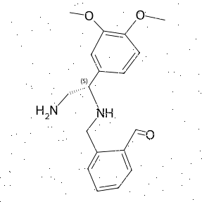 COc1ccc([C@@H](CN)NCc2ccccc2C=O)cc1OC